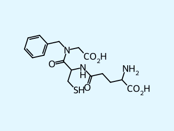 NC(CCC(=O)NC(CS)C(=O)N(CC(=O)O)Cc1ccccc1)C(=O)O